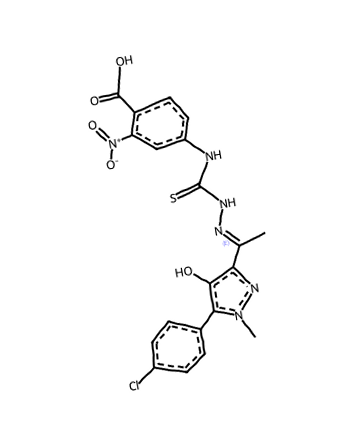 C/C(=N\NC(=S)Nc1ccc(C(=O)O)c([N+](=O)[O-])c1)c1nn(C)c(-c2ccc(Cl)cc2)c1O